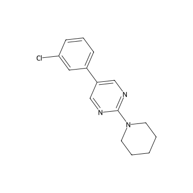 Clc1cccc(-c2cnc(N3CCCCC3)nc2)c1